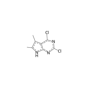 Cc1[nH]c2nc(Cl)nc(Cl)c2c1C